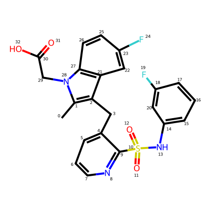 Cc1c(Cc2cccnc2S(=O)(=O)Nc2cccc(F)c2)c2cc(F)ccc2n1CC(=O)O